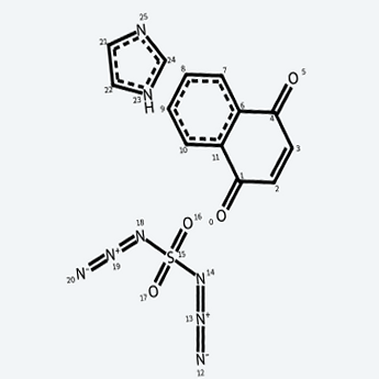 O=C1C=CC(=O)c2ccccc21.[N-]=[N+]=NS(=O)(=O)N=[N+]=[N-].c1c[nH]cn1